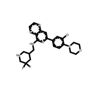 FC1(F)CNCC(CNc2nc(-c3ccc(N4CCOCC4)c(Cl)c3)cc3nccnc23)C1